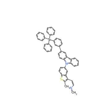 C=N/C=C\c1c(C)sc2ccc(-n3c4ccccc4c4cc(-c5cccc([Si](c6ccccc6)(c6ccccc6)c6ccccc6)c5)ccc43)cc12